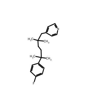 CC(C)(CCC(C)(C)c1ccc(F)cc1)Cc1ccncc1